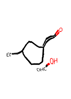 CCC1CCC(=C=O)C1.O=CO